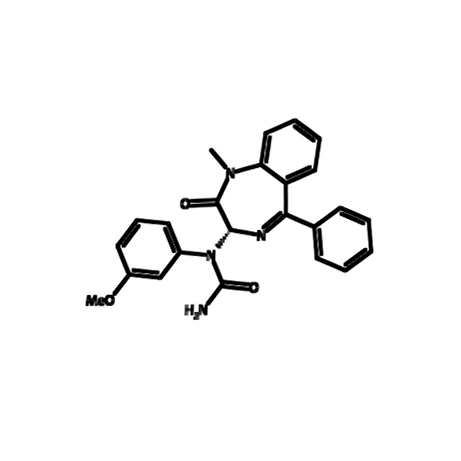 COc1cccc(N(C(N)=O)[C@H]2N=C(c3ccccc3)c3ccccc3N(C)C2=O)c1